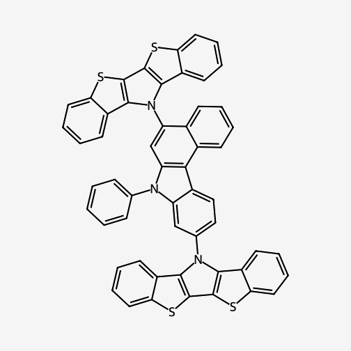 c1ccc(-n2c3cc(-n4c5c6ccccc6sc5c5sc6ccccc6c54)ccc3c3c4ccccc4c(-n4c5c6ccccc6sc5c5sc6ccccc6c54)cc32)cc1